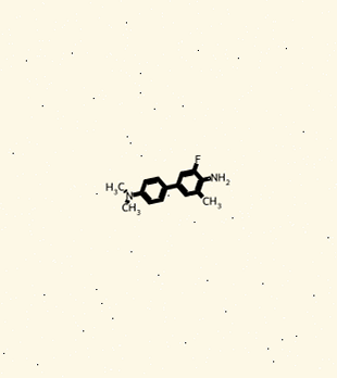 Cc1cc(-c2ccc(N(C)C)cc2)cc(F)c1N